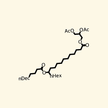 CCCCCCCCCCCCCC(=O)OC(CCCCCC)CCCCCCCCCCC(=O)OCC(COC(C)=O)OC(C)=O